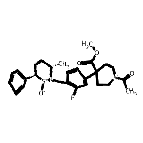 COC(=O)C1(c2ccc(CN3[C@@H](C)CC[C@H](c4ccccc4)[S+]3[O-])c(F)c2)CCN(C(C)=O)CC1